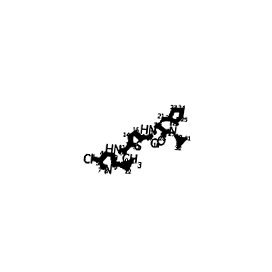 C[C@H](Nc1cc(Cl)cnc1C1CC1)c1ccc(C(=O)N[C@@H](CC2CCCC2)C(=O)NC2CC2)s1